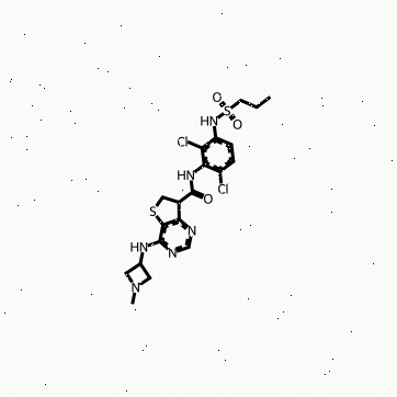 CCCS(=O)(=O)Nc1ccc(Cl)c(NC(=O)C2CSc3c(NC4CN(C)C4)ncnc32)c1Cl